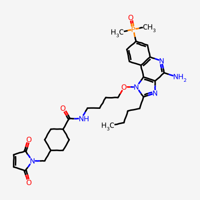 CCCCc1nc2c(N)nc3cc(P(C)(C)=O)ccc3c2n1OCCCCNC(=O)C1CCC(CN2C(=O)C=CC2=O)CC1